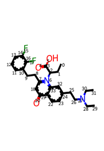 CCC(C(=O)O)n1c(CCc2cccc(F)c2F)cc(=O)c2ccc(CCN(CC)CC)cc21